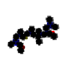 c1ccc(-c2cc(-c3ccc4c(c3)c3ccccc3n4-c3ccc4c(c3)sc3ccc5c(c6ccccc6n5-c5cccc(-c6nc(-c7ccccc7)nc(-c7ccc8oc9ccccc9c8c7)n6)c5)c34)c3c4ccccc4n(-c4ccc5c6cc7c(cc6n(-c6cccc(-c8nc(-c9ccccc9)nc(-c9ccccc9)n8)c6)c5c4)oc4ccccc47)c3c2)cc1